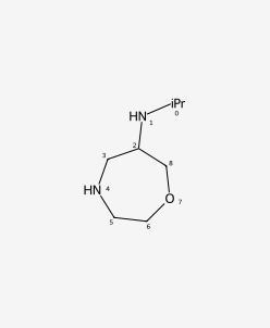 CC(C)NC1CNCCOC1